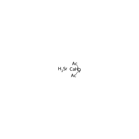 CC(=O)OC(C)=O.[CaH2].[SrH2]